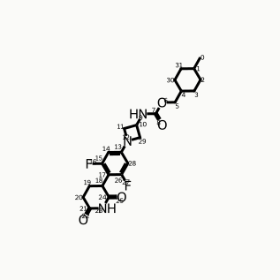 CC1CCC(COC(=O)NC2CN(c3cc(F)c(C4CCC(=O)NC4=O)c(F)c3)C2)CC1